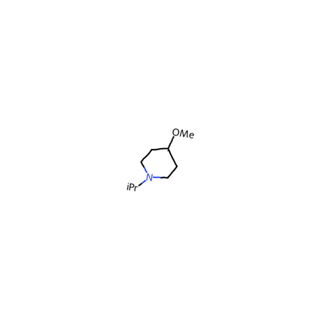 CO[C]1CCN(C(C)C)CC1